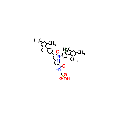 Cc1cc(C)c(-c2ccc(C(Cc3ccc(C(=O)NCCS(=O)(=O)O)cc3)C(=O)Nc3ccc(-c4c(C)cc(C)cc4C)c(Cl)c3)cc2)c(C)c1